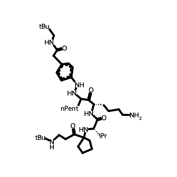 CCCCCC(NNc1ccc(CC(=O)NCC(C)(C)C)cc1)C(=O)[C@H](CCCCN)NC(=O)[C@@H](NC1(C(=O)CCNC(C)(C)C)CCCC1)C(C)C